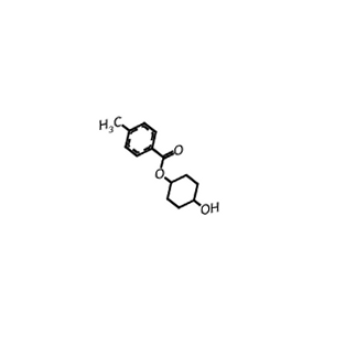 Cc1ccc(C(=O)OC2CCC(O)CC2)cc1